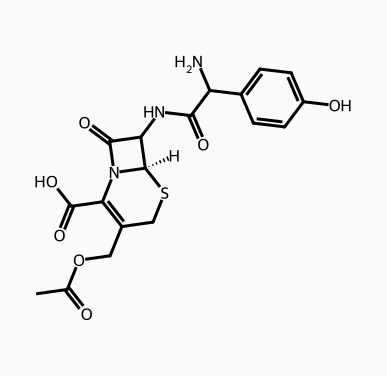 CC(=O)OCC1=C(C(=O)O)N2C(=O)C(NC(=O)C(N)c3ccc(O)cc3)[C@H]2SC1